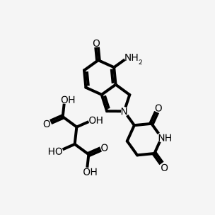 NC1=C2CN(C3CCC(=O)NC3=O)C=C2C=CC1=O.O=C(O)C(O)C(O)C(=O)O